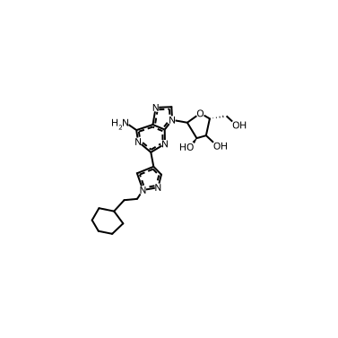 Nc1nc(-c2cnn(CCC3CCCCC3)c2)nc2c1ncn2C1O[C@H](CO)C(O)[C@H]1O